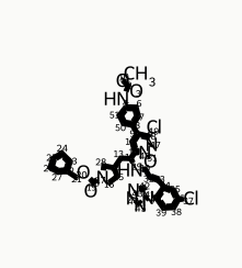 COC(=O)Nc1ccc(-c2cc(C(CC3CCN(C(=O)OCc4ccccc4)C3)NC(=O)C=Cc3cc(Cl)ccc3-n3cnnn3)nnc2Cl)cc1